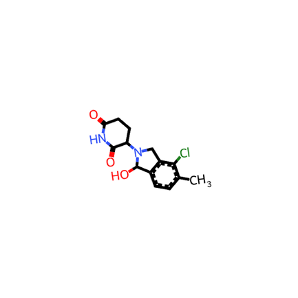 Cc1ccc2c(c1Cl)CN(C1CCC(=O)NC1=O)C2O